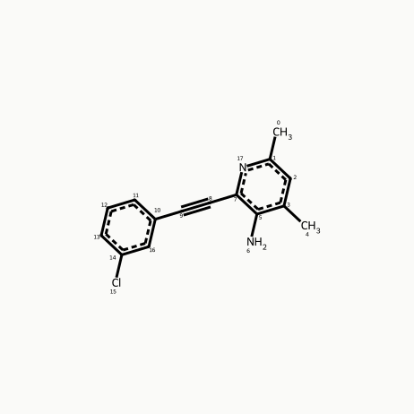 Cc1cc(C)c(N)c(C#Cc2cccc(Cl)c2)n1